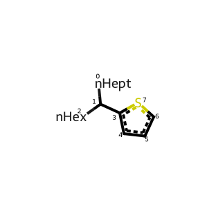 CCCCCCCC(CCCCCC)c1cccs1